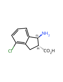 N[C@@H]1c2cccc(Cl)c2C[C@H]1C(=O)O